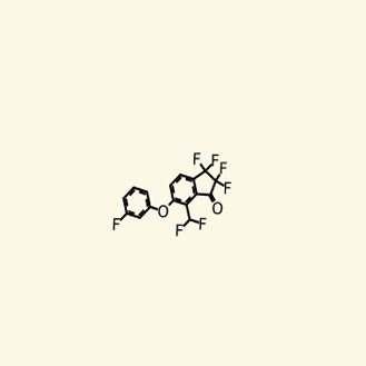 O=C1c2c(ccc(Oc3cccc(F)c3)c2C(F)F)C(F)(F)C1(F)F